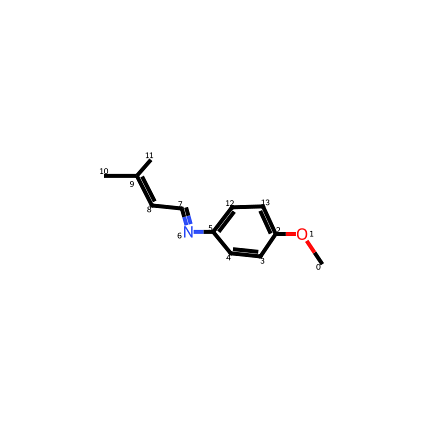 COc1ccc(/N=C/C=C(C)C)cc1